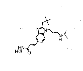 CC(C)NCCCn1c(CC(C)(C)C)nc2cc(C=CC(=O)NO)ccc21